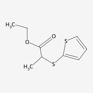 CCOC(=O)C(C)Sc1cccs1